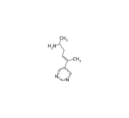 CC(=CCC(C)N)c1cncnc1